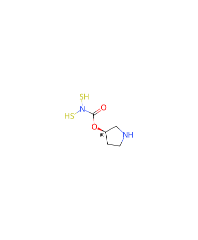 O=C(O[C@@H]1CCNC1)N(S)S